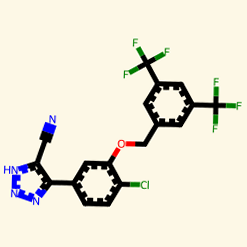 N#Cc1[nH]nnc1-c1ccc(Cl)c(OCc2cc(C(F)(F)F)cc(C(F)(F)F)c2)c1